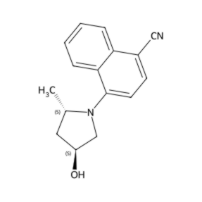 C[C@H]1C[C@H](O)CN1c1ccc(C#N)c2ccccc12